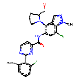 COc1cccc(F)c1-c1nccc(C(=O)Nc2cc(F)c3c(cnn3C)c2N2CCCC2CO)n1